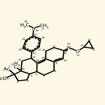 CC(=O)OC1(C(C)=O)CCC2C3CCC4=C/C(=N\OC5CC5)CCC4=C3C(c3ccc(N(C)C)cc3)CC21C